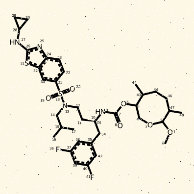 COC1OCC(OC(=O)N[C@H](CCN(CC(C)C)S(=O)(=O)c2ccc3nc(NC4CC4)sc3c2)Cc2cc(F)cc(F)c2)C(C)CCC1C